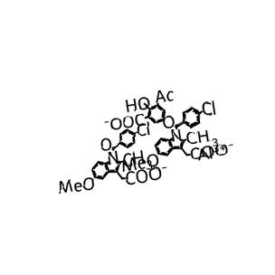 CC(=O)c1cccc(C(=O)[O-])c1O.COc1ccc2c(c1)c(CC(=O)[O-])c(C)n2C(=O)c1ccc(Cl)cc1.COc1ccc2c(c1)c(CC(=O)[O-])c(C)n2C(=O)c1ccc(Cl)cc1.[Al+3]